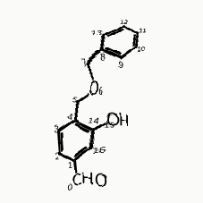 O=Cc1ccc(COCc2ccccc2)c(O)c1